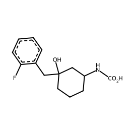 O=C(O)NC1CCCC(O)(Cc2ccccc2F)C1